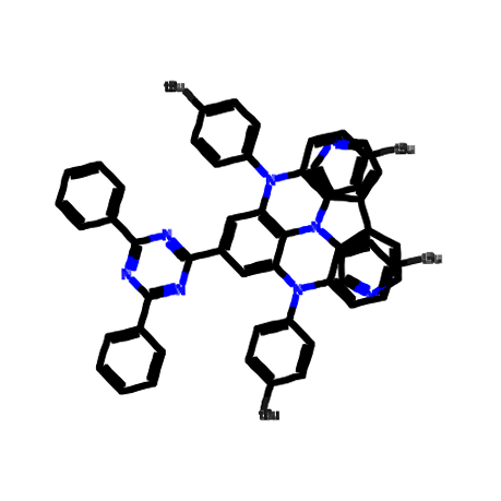 CC(C)(C)c1ccc(N(c2ccc(C(C)(C)C)cc2)c2cc(-c3nc(-c4ccccc4)nc(-c4ccccc4)n3)cc(N(c3ccc(C(C)(C)C)cc3)c3ccc(C(C)(C)C)cc3)c2-n2c3cnccc3c3ccncc32)cc1